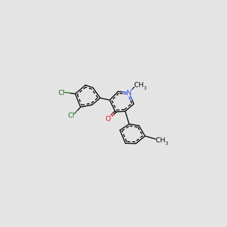 Cc1cccc(-c2cn(C)cc(-c3ccc(Cl)c(Cl)c3)c2=O)c1